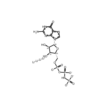 Nc1nc2c(ncn2[C@@H]2O[C@H](COP(=O)([O-])OP(=O)([O-])NP(=O)([O-])[O-])[C@@H](O)[C@H]2O)c(=O)[nH]1.[Li+].[Li+].[Li+].[Li+]